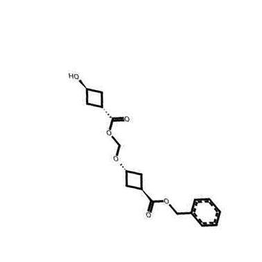 O=C(OCO[C@H]1C[C@H](C(=O)OCc2ccccc2)C1)[C@H]1C[C@H](O)C1